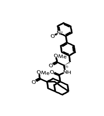 COC(=O)[C@H](Cc1ccc(-c2cccc[n+]2[O-])cc1)NC(=O)C12CC3CC(C1)CC(C(=O)OC)(C3)C2